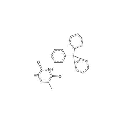 Cc1c[nH]c(=O)[nH]c1=O.c1ccc(C2(c3ccccc3)c3ccccc32)cc1